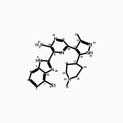 CCc1cccc2[nH]c(-c3nc(-c4c(C)n[nH]c4C4CCN(C)CC4)cnc3N)nc12